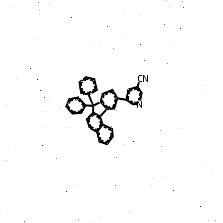 N#Cc1cncc(-c2ccc3c(c2)-c2c(ccc4ccccc24)C3(c2ccccc2)c2ccccc2)c1